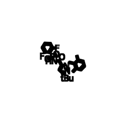 Cc1cccc(C)c1Cn1nc(C(C)(C)C)cc1C(=O)NS(=O)(=O)c1c(F)cccc1F